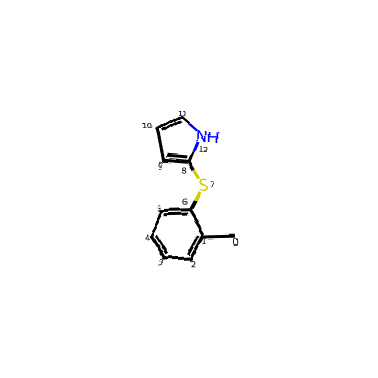 Cc1ccccc1Sc1ccc[nH]1